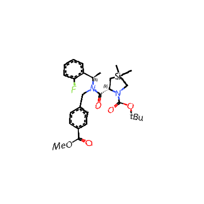 COC(=O)c1ccc(CN(C(=O)[C@@H]2C[Si](C)(C)CN2C(=O)OC(C)(C)C)[C@H](C)c2ccccc2F)cc1